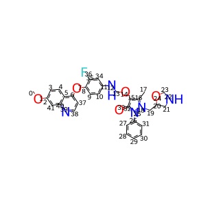 COc1ccc2c(Oc3ccc(NCOc4c(C)n(CC5CNCO5)n(-c5ccccc5)c4=O)cc3F)ccnc2c1